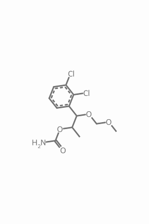 COCOC(c1cccc(Cl)c1Cl)C(C)OC(N)=O